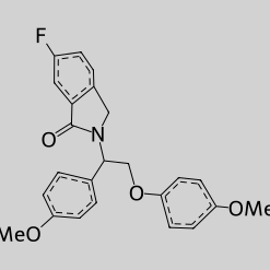 COc1ccc(OCC(c2ccc(OC)cc2)N2Cc3ccc(F)cc3C2=O)cc1